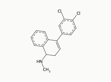 CNC1CC=C(c2ccc(Cl)c(Cl)c2)c2ccccc21